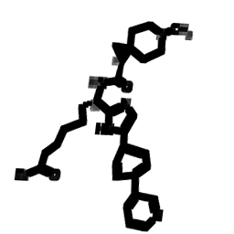 CCC(=O)CCCCC[C@H](NC(=O)[C@H]1CC12CCN(C)CC2)c1ncc(-c2ccc(-c3cccnc3)cc2)[nH]1